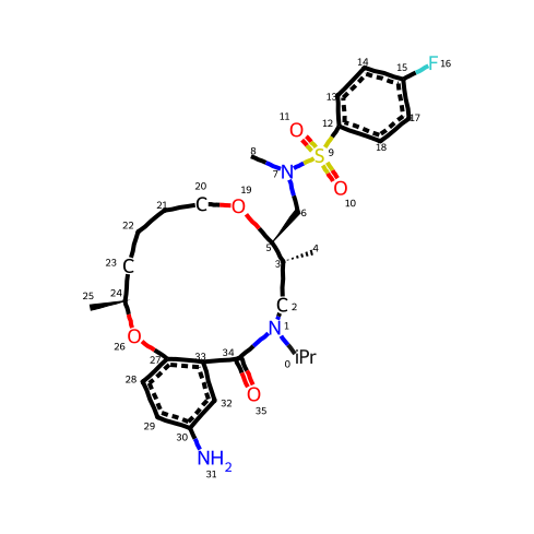 CC(C)N1C[C@@H](C)[C@H](CN(C)S(=O)(=O)c2ccc(F)cc2)OCCCC[C@H](C)Oc2ccc(N)cc2C1=O